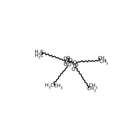 CC(C)CCCCCCCCCCCCC(=O)OC[C@H](OC(=O)CCCCCCCCCCCCC(C)C)[C@H]1OC(=O)C(OC(=O)CCCCCCCCCCCCC(C)C)=C1OC(=O)CCCCCCCCCCCCC(C)C